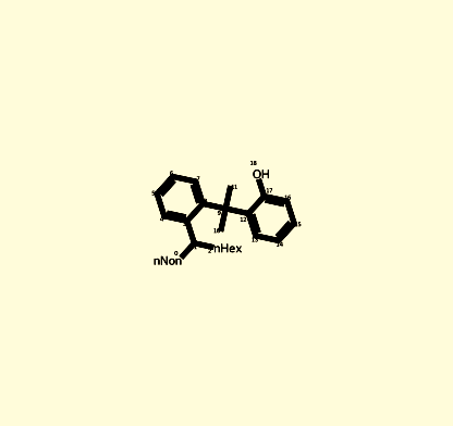 CCCCCCCCCC(CCCCCC)c1ccccc1C(C)(C)c1ccccc1O